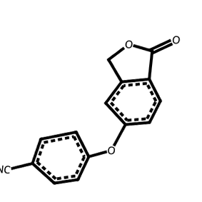 N#Cc1ccc(Oc2ccc3c(c2)COC3=O)cc1